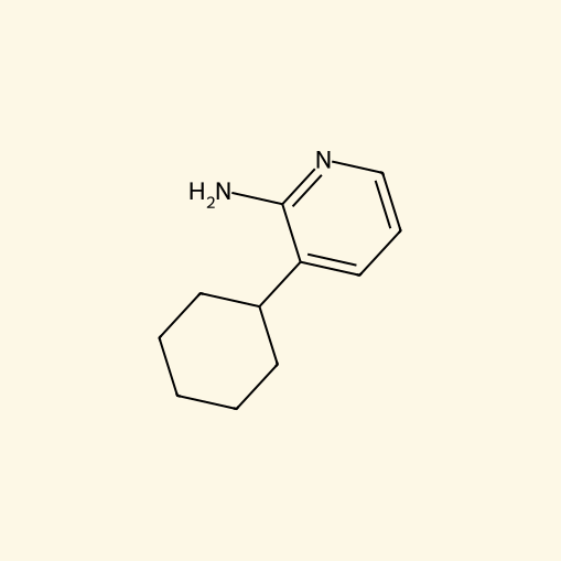 Nc1ncccc1C1CCCCC1